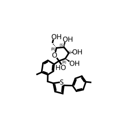 Cc1ccc(-c2ccc(Cc3cc(C4(O)O[C@H](CO)[C@@H](O)[C@H](O)[C@H]4O)ccc3C)s2)cc1